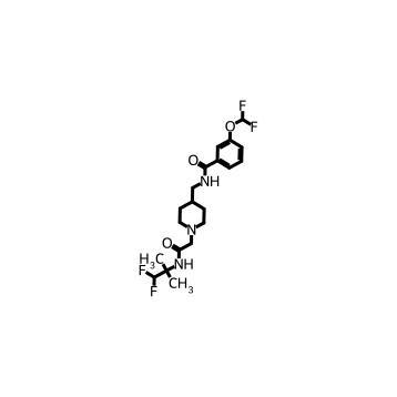 CC(C)(NC(=O)CN1CCC(CNC(=O)c2cccc(OC(F)F)c2)CC1)C(F)F